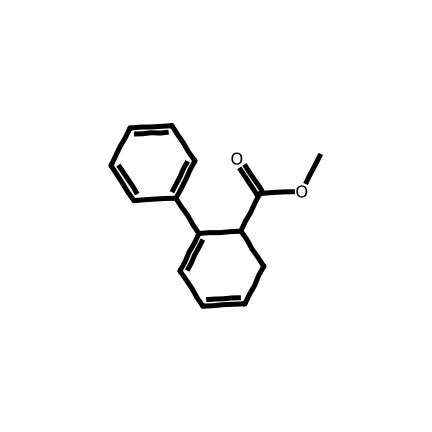 COC(=O)C1CC=CC=C1c1ccccc1